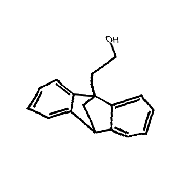 OCCC12CC(c3ccccc31)c1ccccc12